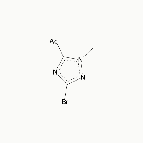 CC(=O)c1nc(Br)nn1C